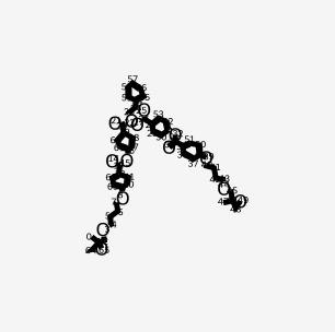 CC1(COCCCCOc2ccc(C(=O)Oc3ccc(C(=O)OCC(OC(=O)c4ccc(OC(=O)c5ccc(OCCCCOCC6(C)CO6)cc5)cc4)c4ccccc4)cc3)cc2)CO1